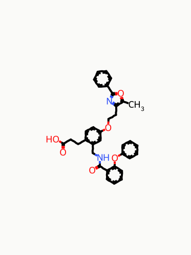 Cc1oc(-c2ccccc2)nc1CCOc1ccc(CCC(=O)O)c(CNC(=O)c2ccccc2Oc2ccccc2)c1